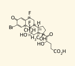 C[C@]12C=C(Br)C(=O)C=C1[C@H](F)C[C@H]1[C@@H]3CC[C@](O)(C(=O)C(O)CCC(=O)O)[C@@]3(C)C[C@H](O)[C@@]12F